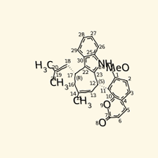 COc1ccc2ccc(=O)oc2c1[C@@H]1C=C(C)C[C@H](C=C(C)C)c2c1[nH]c1ccccc21